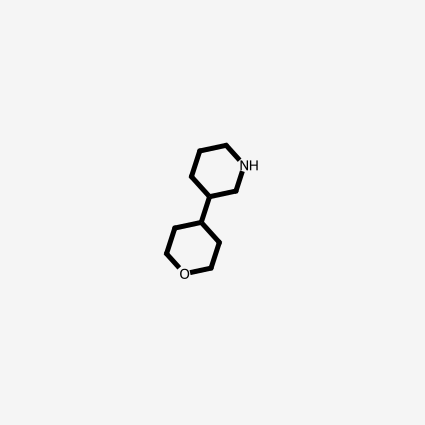 C1CNCC(C2CCOCC2)C1